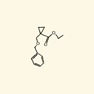 CCOC(=O)C1(COCc2ccccc2)CC1